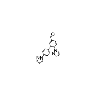 O=Cc1ccc(-n2cccn2)c(-c2ccc(-n3cccn3)cc2)c1